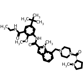 CCNC(=O)c1cc(C(C)(C)C)cc(NC(=O)c2cc3cccc(CN4CCN(C(=O)[C@@H]5CCCN5C)CC4)c3n2C)c1OC